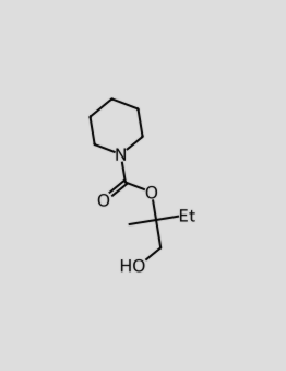 CCC(C)(CO)OC(=O)N1CCCCC1